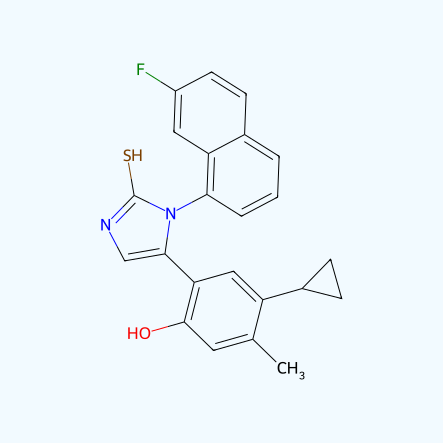 Cc1cc(O)c(-c2cnc(S)n2-c2cccc3ccc(F)cc23)cc1C1CC1